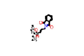 C[SiH](C)O[Si](C)(CCCN1C(=O)c2ccccc2C1=O)O[Si](C)(C)C